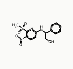 CS(=O)(=O)c1nc(NC(CO)c2ccccc2)ccc1[N+](=O)[O-]